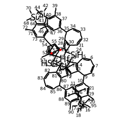 CC1=CC2=C(C=CC=CC2c2cc(C)c([Si](C)(C)C)c(C)c2)[C]12[SiH](C)[C]1(C(C)=CC3=C1C=CC=CC3c1cc(C)c([Si](C)(C)C)c(C)c1)[Hf]21([Cl])([Cl])[C]2(C(C)=CC3=C2C=CC=CC3c2cc(C)c([Si](C)(C)C)c(C)c2)[SiH](C)[C]12C(C)=CC1=C2C=CC=CC1c1cc(C)c([Si](C)(C)C)c(C)c1